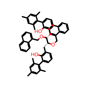 Cc1cc(C)c(-c2cccc(C[C@@H](OCc3cccc4ccccc34)[C@@H](Cc3cccc(-c4c(C)cc(C)cc4C)c3O)OCc3cccc4ccccc34)c2O)c(C)c1